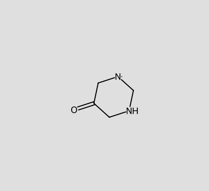 O=C1C[N]CNC1